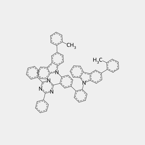 Cc1ccccc1-c1ccc2c(c1)c1ccccc1n2-c1ccccc1-c1ccc(-n2c3ccccc3c3cc(-c4ccccc4C)ccc32)c(-c2nc(-c3ccccc3)nc(-c3ccccc3)n2)c1